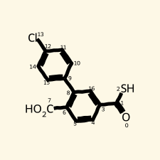 O=C(S)c1ccc(C(=O)O)c(-c2ccc(Cl)cc2)c1